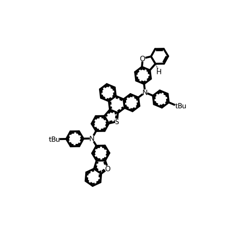 CC(C)(C)c1ccc(N(c2ccc3c(c2)sc2c4ccc(N(c5ccc(C(C)(C)C)cc5)c5ccc6c(c5)[C@@H]5C=CC=CC5O6)cc4c4ccccc4c32)c2ccc3oc4ccccc4c3c2)cc1